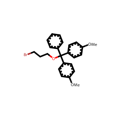 COc1ccc(C(OCCCBr)(c2ccccc2)c2ccc(OC)cc2)cc1